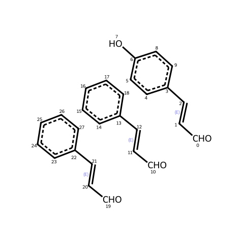 O=C/C=C/c1ccc(O)cc1.O=C/C=C/c1ccccc1.O=C/C=C/c1ccccc1